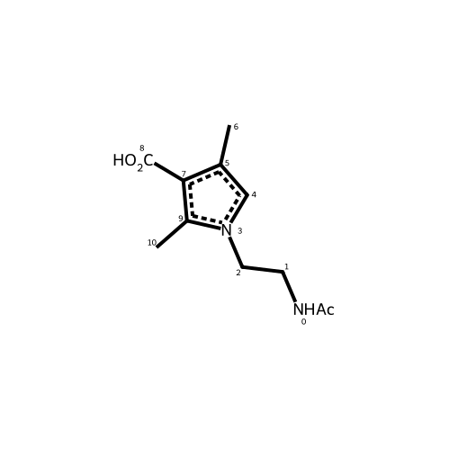 CC(=O)NCCn1cc(C)c(C(=O)O)c1C